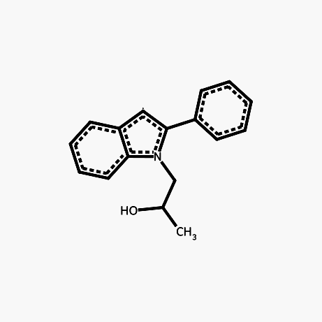 CC(O)Cn1c(-c2ccccc2)[c]c2ccccc21